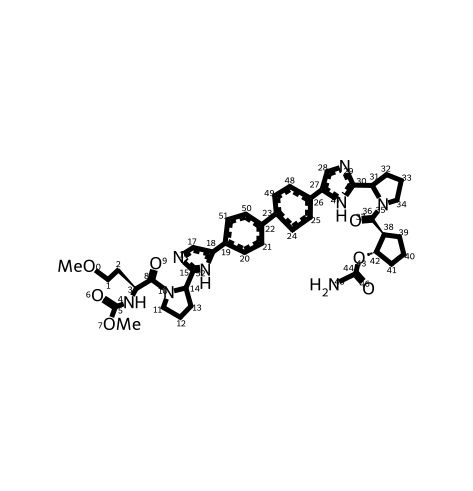 COCC[C@H](NC(=O)OC)C(=O)N1CCCC1c1ncc(-c2ccc(-c3ccc(-c4cnc(C5CCCN5C(=O)[C@H]5CCC[C@@H]5OC(N)=O)[nH]4)cc3)cc2)[nH]1